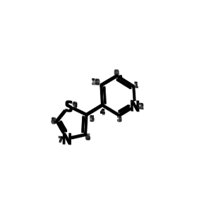 [c]1cncc(-c2cncs2)c1